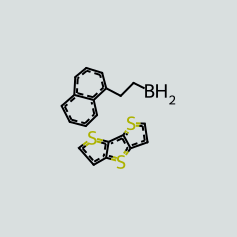 BCCc1cccc2ccccc12.c1cc2sc3ccsc3c2s1